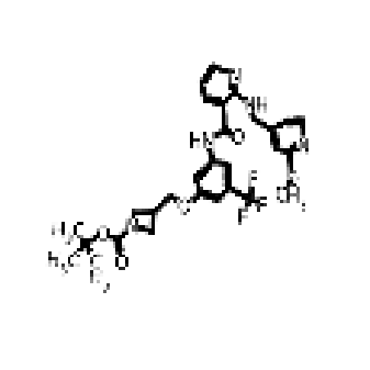 COc1cc(CNc2ncccc2C(=O)Nc2cc(OCC3CN(C(=O)OC(C)(C)C)C3)cc(C(F)(F)F)c2)ccn1